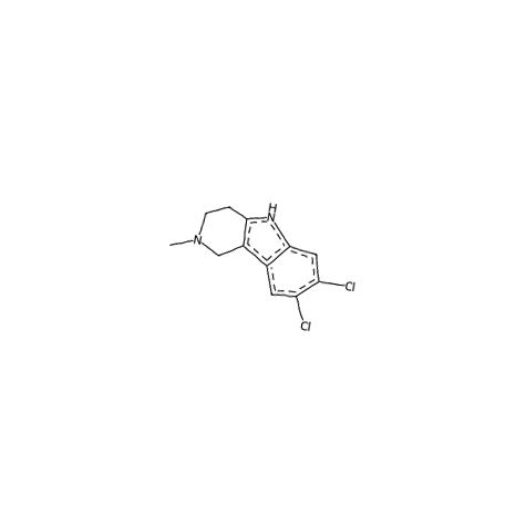 CN1CCc2[nH]c3cc(Cl)c(Cl)cc3c2C1